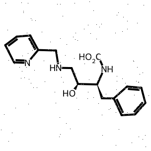 O=C(O)N[C@@H](Cc1ccccc1)[C@@H](O)CNCc1ccccn1